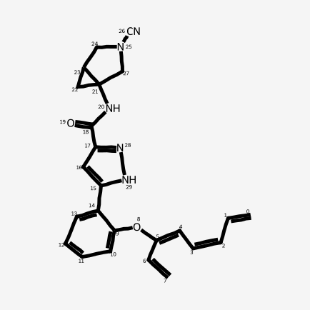 C=C/C=C\C=C(/C=C)Oc1ccccc1-c1cc(C(=O)NC23CC2CN(C#N)C3)n[nH]1